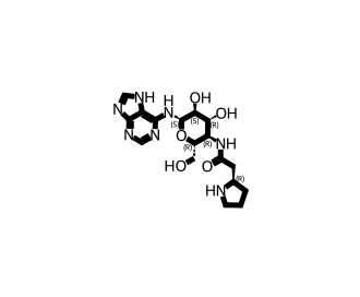 O=C(C[C@H]1CCCN1)N[C@@H]1[C@@H](O)[C@H](O)[C@@H](Nc2ncnc3nc[nH]c23)O[C@H]1CO